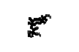 CCC(C)(C)C(=O)OC(F)(OCCC(F)(F)C(C)(F)F)C(=O)OC